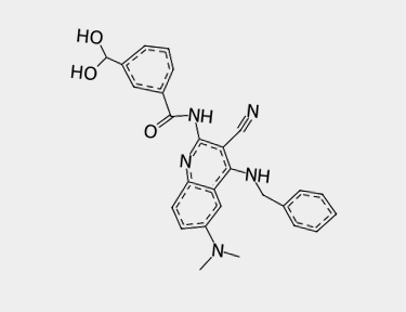 CN(C)c1ccc2nc(NC(=O)c3cccc(C(O)O)c3)c(C#N)c(NCc3ccccc3)c2c1